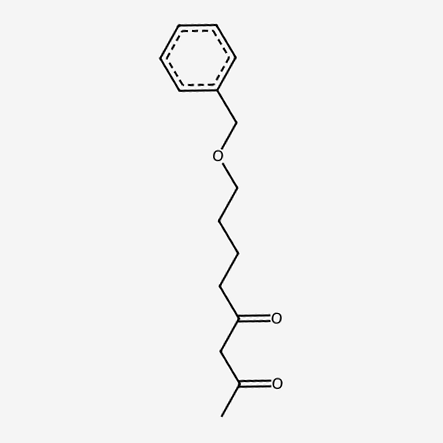 CC(=O)CC(=O)CCCCOCc1ccccc1